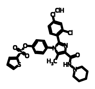 Cc1c(C(=O)NN2CCCCC2)nc(-c2ccc(Cl)cc2Cl)n1-c1ccc(OS(=O)(=O)c2cccs2)cc1.Cl